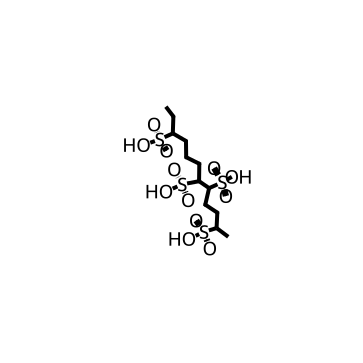 CCC(CCCC(C(CCC(C)S(=O)(=O)O)S(=O)(=O)O)S(=O)(=O)O)S(=O)(=O)O